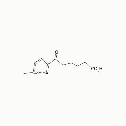 O=C(O)CCCCC(=O)c1ccc(F)cc1